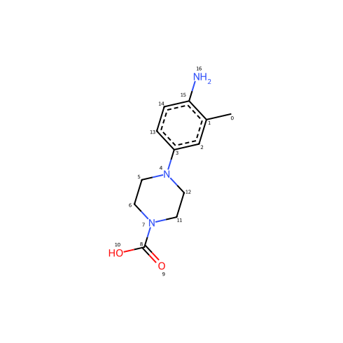 Cc1cc(N2CCN(C(=O)O)CC2)ccc1N